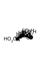 O=C(O)CN(CC(=O)O)c1ccccc1OCCOc1cc2cc(C3=NCC(C(=O)O)O3)oc2cc1N(CC(=O)O)CC(=O)O